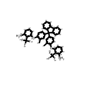 Cc1cc(C2(c3ccc(Oc4cccc(N)c4C(F)(F)F)c(C)c3)c3ccccc3-c3ccccc32)ccc1Oc1cccc(N)c1C(F)(F)F